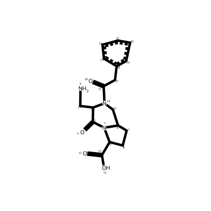 NCC1C(=O)N2C(CCC2C(=O)O)CN1C(=O)Cc1ccccc1